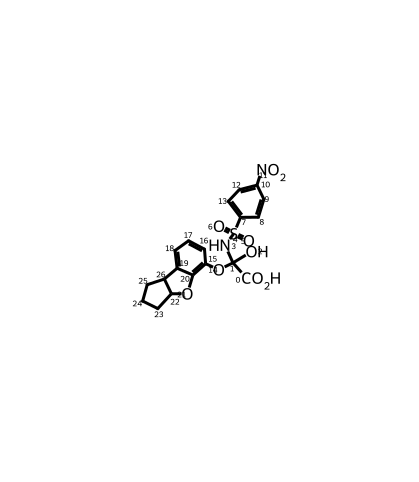 O=C(O)C(O)(NS(=O)(=O)c1ccc([N+](=O)[O-])cc1)Oc1cccc2c1OC1CCCC21